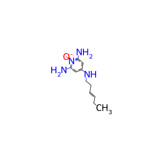 CCC=CCCNc1cc(N)[n+]([O-])c(N)c1